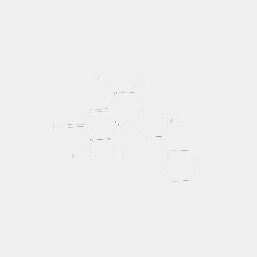 C=C(N)C(=C)C(=C)C=CC(=C)C(=C)C=CCC(N)C1CCCCC1